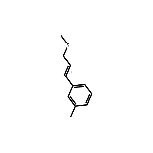 CSC/C=C/c1cccc(C)c1